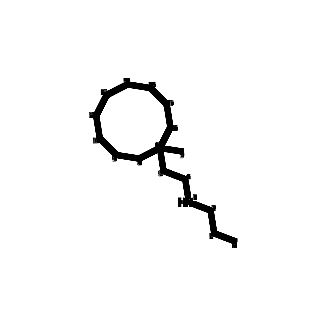 CCCNCCC1(C)CCCCCCCCC1